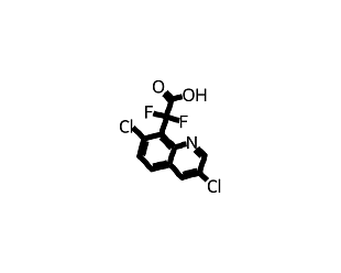 O=C(O)C(F)(F)c1c(Cl)ccc2cc(Cl)cnc12